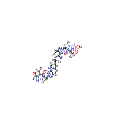 COC(=O)N[C@H](C(=O)N1CCC[C@H]1c1nc2ccc3cc(-c4ccc5c(ccc6nc([C@@H]7CCCN7C(=O)[C@@H](NC(C)=O)C(C)C)[nH]c65)c4)cnc3c2[nH]1)C(C)C